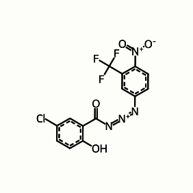 O=C(N=[N+]=Nc1ccc([N+](=O)[O-])c(C(F)(F)F)c1)c1cc(Cl)ccc1O